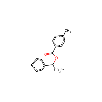 CCOC(=O)C(OC(=O)c1ccc(C)cc1)c1ccccc1